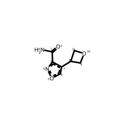 NC(=O)c1nocc1C1COC1